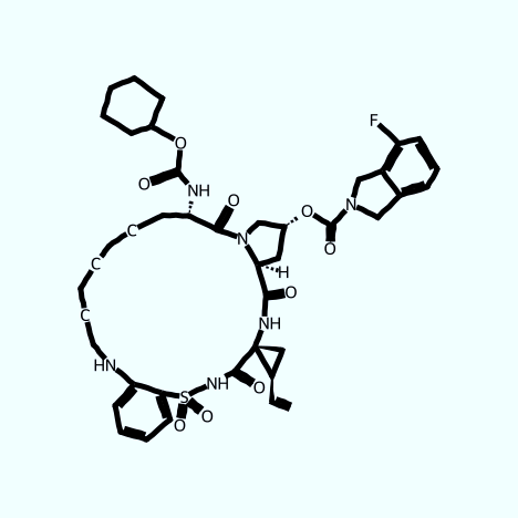 C=C[C@@H]1C[C@@]12NC(=O)[C@@H]1C[C@@H](OC(=O)N3Cc4cccc(F)c4C3)CN1C(=O)[C@@H](NC(=O)OC1CCCCC1)CCCCCCCNc1ccccc1S(=O)(=O)NC2=O